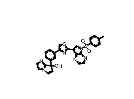 Cc1ccc(S(=O)(=O)n2cc(-c3nc(-c4cccc(C5(O)C=Cn6ccnc65)c4)cs3)c3nccnc32)cc1